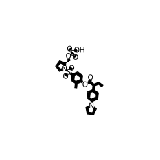 CCC(C(=O)Oc1ccc(S(=O)(=O)N2CCC[C@H]2COS(=O)(=O)O)cc1C)c1ccc(N2CCCC2)cc1